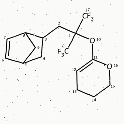 FC(F)(F)C(CC1CC2C=CC1C2)(OC1=CCCCO1)C(F)(F)F